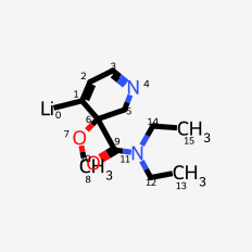 [Li][C]1=CC=NCC1(OC)C(=O)N(CC)CC